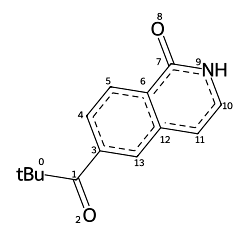 CC(C)(C)C(=O)c1ccc2c(=O)[nH]ccc2c1